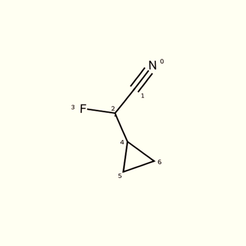 N#C[C](F)C1CC1